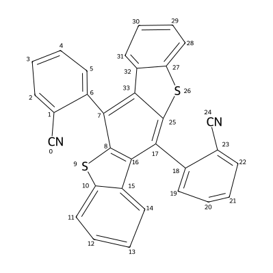 N#Cc1ccccc1-c1c2sc3ccccc3c2c(-c2ccccc2C#N)c2sc3ccccc3c12